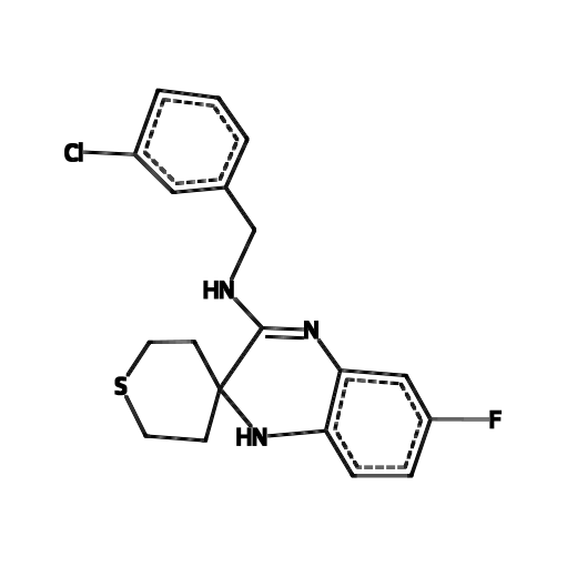 Fc1ccc2c(c1)N=C(NCc1cccc(Cl)c1)C1(CCSCC1)N2